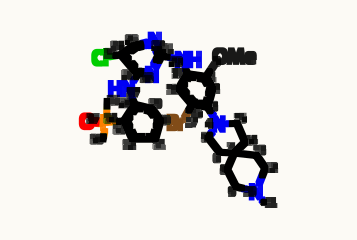 COc1cc(N2CCC3(CCN(C)CC3)CC2)c(Br)cc1Nc1ncc(Cl)c(Nc2ccccc2P(C)(C)=O)n1